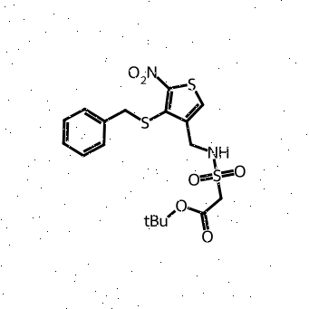 CC(C)(C)OC(=O)CS(=O)(=O)NCc1csc([N+](=O)[O-])c1SCc1ccccc1